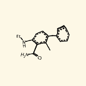 CCNc1ccc(-c2ccccc2)c(C)c1C(N)=O